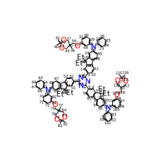 CCC1(CC)c2cc(-c3nc(-c4ccc5c(c4)C(CC)(CC)c4cc(N(c6ccccc6)c6cccc(OCC7(C)COC(C)(C)OC7)c6)ccc4-5)nc(-c4ccc5c(c4)C(CC)(CC)c4cc(N(c6ccccc6)c6cccc(OCC7(C)COC(C)(C)OC7)c6)ccc4-5)n3)ccc2-c2ccc(N(c3ccccc3)c3cccc(OCC4COC(C)(C)OC4)c3)cc21